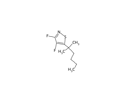 CCCCC(C)(C)c1snc(F)c1F